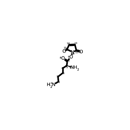 NCCCC[C@H](N)C(=O)ON1C(=O)C=CC1=O